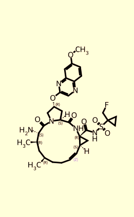 COc1ccc2ncc(O[C@@H]3C[C@H]4C(=O)N[C@]5(C(=O)NS(=O)(=O)C6(CF)CC6)C[C@H]5/C=C\CC[C@@H](C)C[C@@H](C)[C@H](N)C(=O)N4C3)nc2c1